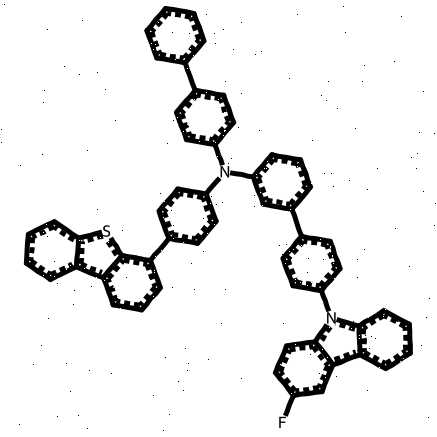 Fc1ccc2c(c1)c1ccccc1n2-c1ccc(-c2cccc(N(c3ccc(-c4ccccc4)cc3)c3ccc(-c4cccc5c4sc4ccccc45)cc3)c2)cc1